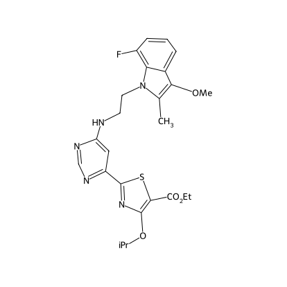 CCOC(=O)c1sc(-c2cc(NCCn3c(C)c(OC)c4cccc(F)c43)ncn2)nc1OC(C)C